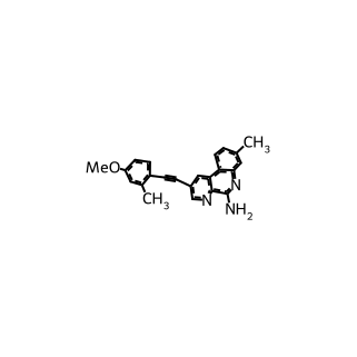 COc1ccc(C#Cc2cnc3c(N)nc4cc(C)ccc4c3c2)c(C)c1